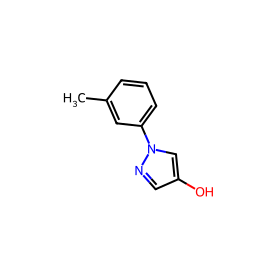 Cc1cccc(-n2cc(O)cn2)c1